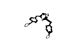 Clc1ccc(Cc2cnc(Cc3ccc(Cl)cc3)s2)cc1